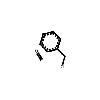 C=O.ClCc1ccccc1